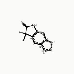 CC1(C)C(=O)Nc2cc3nn[nH]c3cc21